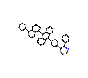 C1=CCCC(c2cccc3c(-c4c5ccccc5c(C5=CC=C(c6cccnc6-c6ccccc6)CC5)c5ccccc45)cccc23)=C1